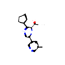 COC(=O)c1nc(-c2cncc(C)c2)cnc1C1CCCC1